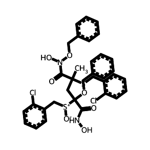 CC(CC(OCc1ccccc1)(C(=O)NO)[S+]([O-])Cc1ccccc1Cl)(SCc1ccccc1Cl)C(=O)N(O)OCc1ccccc1